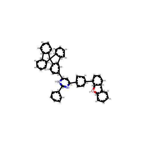 c1ccc(-c2nc(-c3ccc(-c4cccc5c4oc4ccccc45)cc3)cc(-c3ccc4c(c3)-c3ccccc3C43c4ccccc4-c4ccccc43)n2)cc1